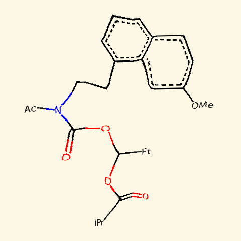 CCC(OC(=O)C(C)C)OC(=O)N(CCc1cccc2ccc(OC)cc12)C(C)=O